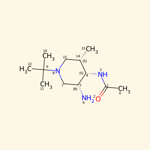 CC(=O)N[C@@H]1[C@H](N)CN(C(C)(C)C)C[C@@H]1C